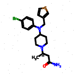 C[C@H](CC(N)=O)N1CCC(N(Cc2ccsc2)c2ccc(Br)cc2)CC1